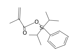 C=C(C)C(=O)O[Si](c1ccccc1)(C(C)C)C(C)C